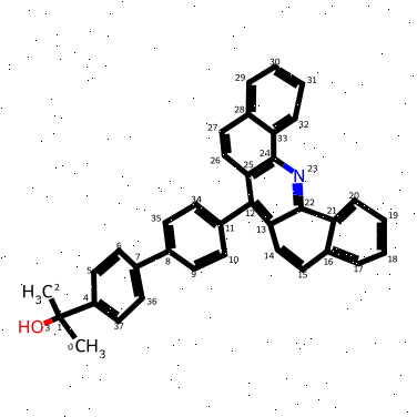 CC(C)(O)c1ccc(-c2ccc(-c3c4ccc5ccccc5c4nc4c3ccc3ccccc34)cc2)cc1